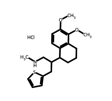 CNCC(Cc1cccs1)C1CCCc2c1ccc(OC)c2OC.Cl